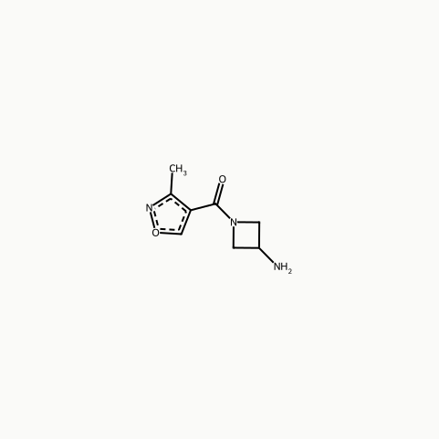 Cc1nocc1C(=O)N1CC(N)C1